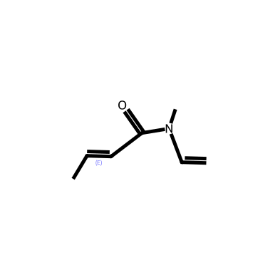 C=CN(C)C(=O)/C=C/C